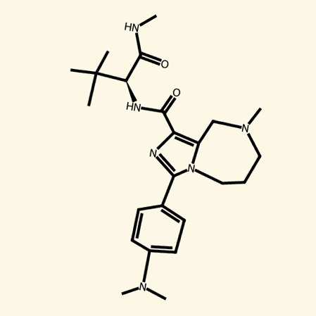 CNC(=O)[C@@H](NC(=O)c1nc(-c2ccc(N(C)C)cc2)n2c1CN(C)CCC2)C(C)(C)C